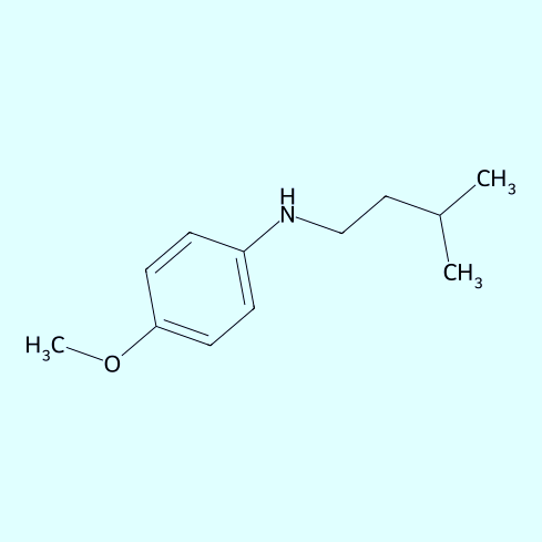 COc1ccc(NCCC(C)C)cc1